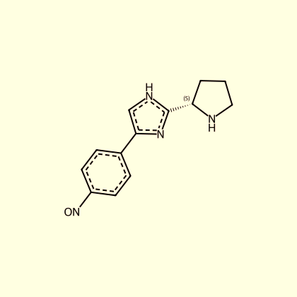 O=Nc1ccc(-c2c[nH]c([C@@H]3CCCN3)n2)cc1